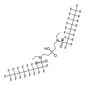 CCN(CCP(=O)(O)CCN(CC)S(=O)(=O)C(F)(F)C(F)(F)C(F)(F)C(F)(F)C(F)(F)C(F)(F)C(F)(F)C(F)(F)F)S(=O)(=O)C(F)(F)C(F)(F)C(F)(F)C(F)(F)C(F)(F)C(F)(F)C(F)(F)C(F)(F)F